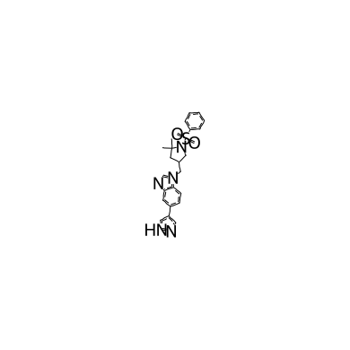 CC1(C)CC(Cn2cnc3cc(-c4cn[nH]c4)ccc32)CN1S(=O)(=O)c1ccccc1